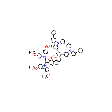 COc1ccc2c(c1)c1cc(OC)ccc1n2-c1cc(-n2c3ccc(OC)cc3c3cc(OC)ccc32)c2ccc3ccc4ccc5c(-c6ccc7c8ccc(-c9ccccc9)cc8n(-c8ccccc8)c7c6)cc(-c6ccc7c8ccc(-c9ccccc9)cc8n(-c8ccccc8)c7c6)cc5c(=O)c4c3c(=O)c2c1